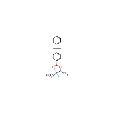 CC(C)(c1ccccc1)c1ccc(C(=O)OC(C(F)(F)F)C(F)(F)S(=O)(=O)O)cc1